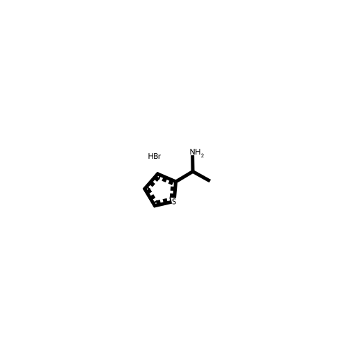 Br.CC(N)c1cccs1